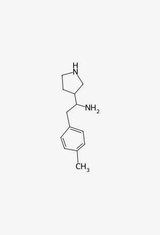 Cc1ccc(CC(N)C2CCNC2)cc1